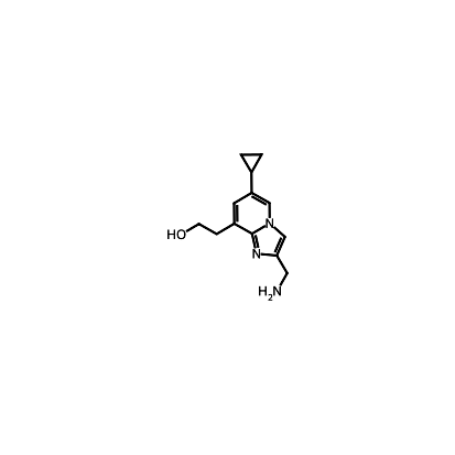 NCc1cn2cc(C3CC3)cc(CCO)c2n1